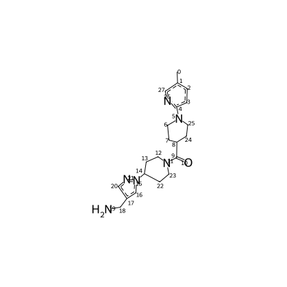 Cc1ccc(N2CCC(C(=O)N3CCC(n4cc(CN)cn4)CC3)CC2)nc1